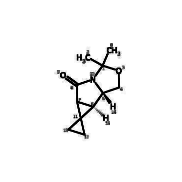 CC1(C)OC[C@@H]2[C@@H]3C(C(=O)N21)C31CC1